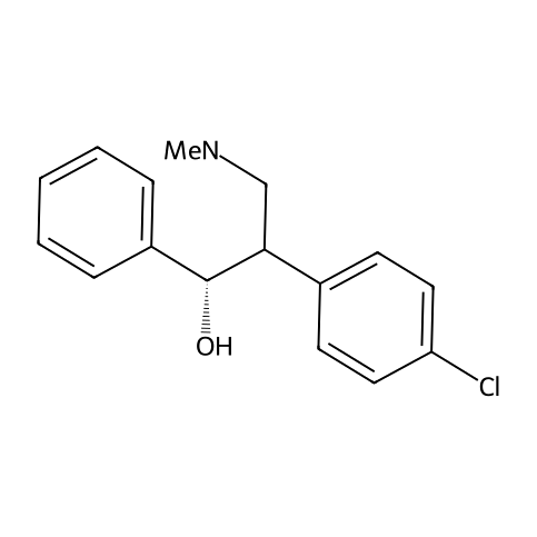 CNCC(c1ccc(Cl)cc1)[C@H](O)c1ccccc1